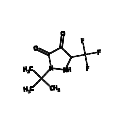 CC(C)(C)N1NC(C(F)(F)F)C(=O)C1=O